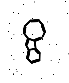 C1=CC=CC2=Cc3ccccc3C2=NC=C1